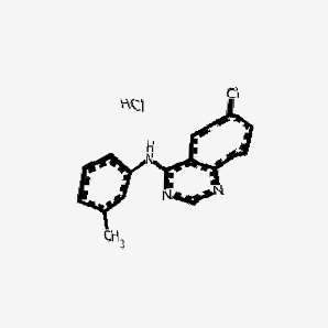 Cc1cccc(Nc2ncnc3ccc(Cl)cc23)c1.Cl